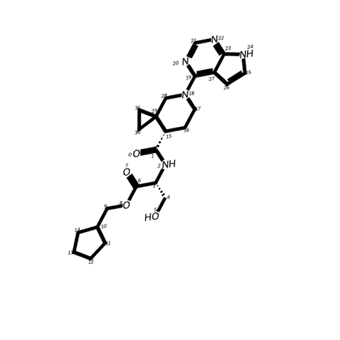 O=C(N[C@H](CO)C(=O)OCC1CCCC1)[C@H]1CCN(c2ncnc3[nH]ccc23)CC12CC2